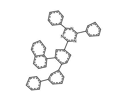 c1ccc(-c2cccc(-c3ccc(-c4nc(-c5ccccc5)nc(-c5ccccc5)n4)cc3-c3cccc4ccccc34)c2)cc1